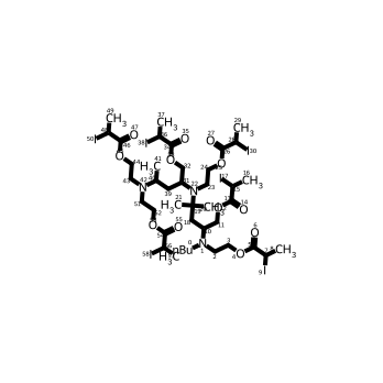 CCCCN(CCOC(=O)C(C)I)C(COC(=O)C(C)I)CC(C)(C)N(CCOC(=O)C(C)I)C(COC(=O)C(C)I)CC(C)N(CCOC(=O)C(C)I)CCOC(=O)C(C)I